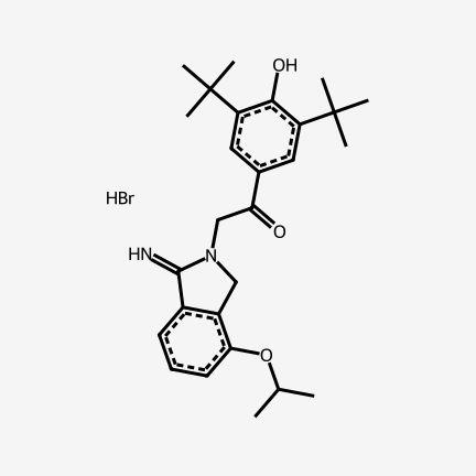 Br.CC(C)Oc1cccc2c1CN(CC(=O)c1cc(C(C)(C)C)c(O)c(C(C)(C)C)c1)C2=N